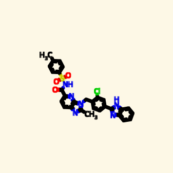 Cc1ccc(S(=O)(=O)NC(=O)c2ccc3nc(C)n(Cc4ccc(-c5nc6ccccc6[nH]5)cc4Cl)c3n2)cc1